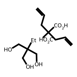 C=CCC(CC=C)(C(=O)O)C(=O)O.CCC(CO)(CO)CO